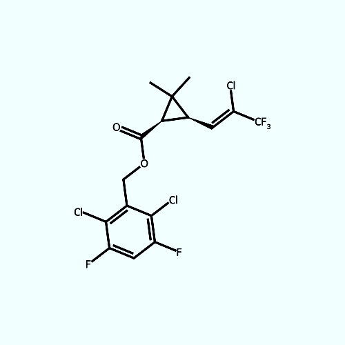 CC1(C)[C@H](C(=O)OCc2c(Cl)c(F)cc(F)c2Cl)[C@@H]1/C=C(\Cl)C(F)(F)F